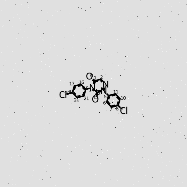 O=c1cnn(-c2ccc(Cl)cc2)c(=O)n1-c1ccc(Cl)cc1